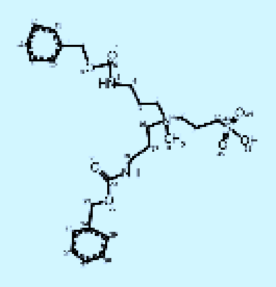 C[N+](CCCNC(=O)OCc1ccccc1)(CCCNC(=O)OCc1ccccc1)CCCS(=O)(=O)O